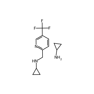 FC(F)(F)c1ccc(CNC2CC2)nc1.NC1CC1